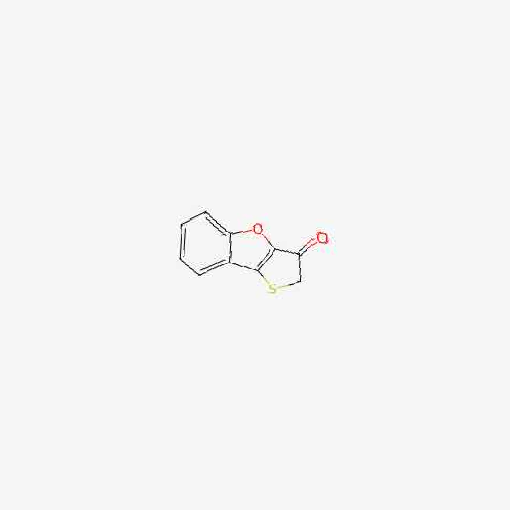 O=C1CSc2c1oc1ccccc21